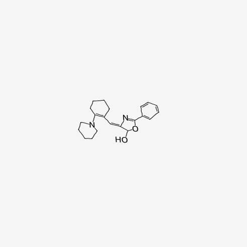 OC1OC(c2ccccc2)=N/C1=C\C1=C(N2CCCCC2)CCCC1